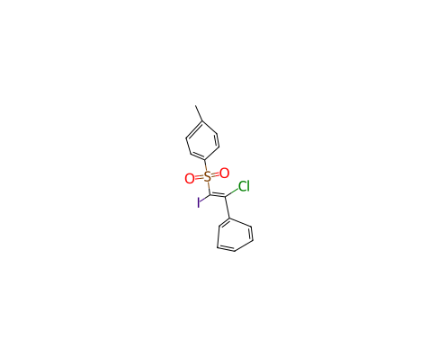 Cc1ccc(S(=O)(=O)/C(I)=C(\Cl)c2ccccc2)cc1